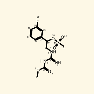 COC(=O)NC(=N)NCC(OS(C)(=O)=O)c1cccc(F)c1